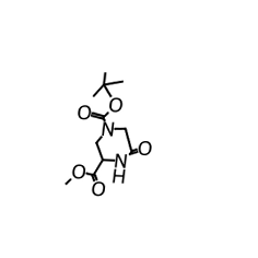 COC(=O)C1CN(C(=O)OC(C)(C)C)CC(=O)N1